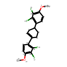 CCCCOc1ccc(C2CC=C(c3ccc(OCC)c(F)c3F)CC2)c(F)c1F